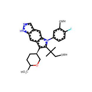 COCC(C)(C)c1c([C@@H]2CCC(C(=O)O)OC2)c2cc3[nH]ncc3cc2n1-c1ccc(F)c(OC)c1